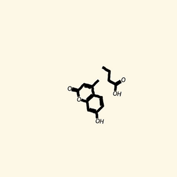 CCCC(=O)O.Cc1cc(=O)oc2cc(O)ccc12